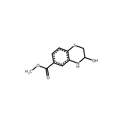 COC(=O)c1ccc2c(c1)NC(O)CS2